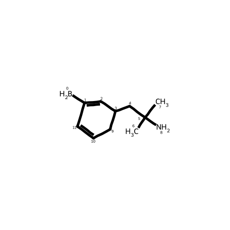 BC1=CC(CC(C)(C)N)CC=C1